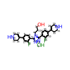 Cl.OCCCn1c(-c2ccc(C3=CCNCC3)cc2F)nnc1-c1ccc(C2=CCNCC2)cc1F